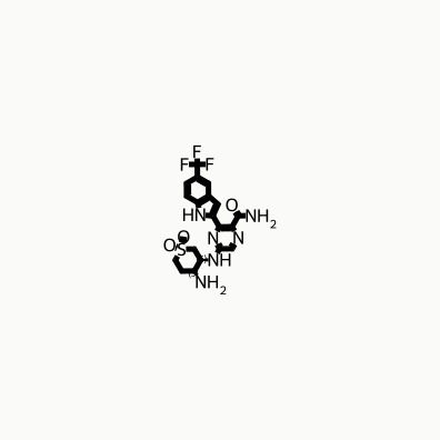 NC(=O)c1ncc(N[C@@H]2CS(=O)(=O)CC[C@@H]2N)nc1-c1cc2cc(C(F)(F)F)ccc2[nH]1